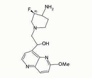 COc1ccc2nccc(C(O)CN3CCC(N)[C@H](F)C3)c2n1